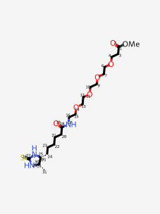 COC(=O)CCOCCOCCOCCOCCNC(=O)CCCCC[C@H]1NC(=S)N[C@H]1C